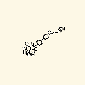 CNC(=O)C(C(=O)NO)N(C)C(=O)c1ccc(-c2ccc(OCCCn3ccnc3)cc2)cc1